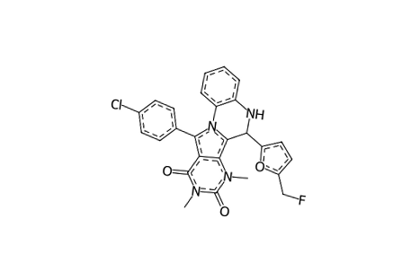 Cn1c(=O)c2c(-c3ccc(Cl)cc3)n3c(c2n(C)c1=O)C(c1ccc(CF)o1)Nc1ccccc1-3